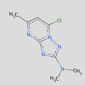 Cc1cc(Cl)n2nc(N(C)C)nc2n1